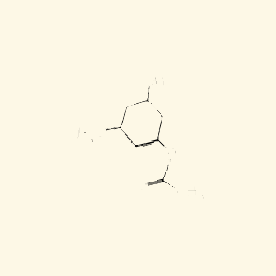 CC(=O)OC1CC(C)CC(O)C1